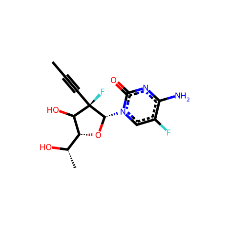 CC#C[C@@]1(F)C(O)[C@@H]([C@H](C)O)O[C@H]1n1cc(F)c(N)nc1=O